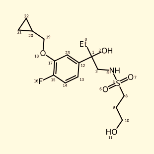 CCC(O)(CNS(=O)(=O)CCCO)c1ccc(F)c(OCC2CC2)c1